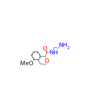 COc1cccc2c1CCOC2C(=O)NCCN